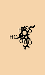 CCCC(=O)O[C@@]12CC(C)C34C=C(C)[C@H](OC(=O)C(C)=C(C)C)[C@@]3(O)C(O)C(CO)=CC(C4=O)[C@@H]1C2(C)C